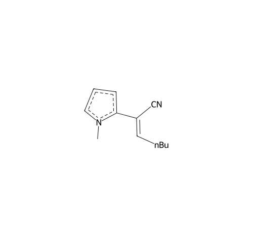 CCCC/C=C(\C#N)c1cccn1C